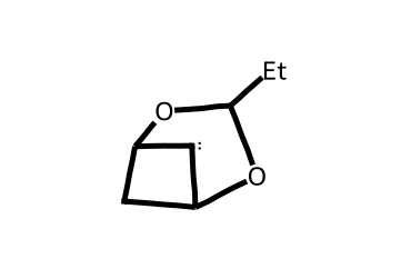 CCC1OC2[C]C(C2)O1